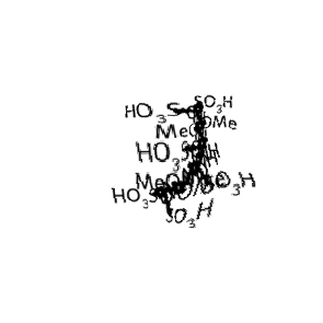 COc1cc(N=Nc2ccc(S(=O)(=O)O)cc2OCCCCS(=O)(=O)O)c(OC)cc1N=Nc1cc(OCCCS(=O)(=O)O)c(NC(=O)Nc2cc(C)c(N=Nc3cc(OC)c(N=Nc4ccc(S(=O)(=O)O)cc4OCCCCS(=O)(=O)O)cc3OC)cc2OCCCS(=O)(=O)O)cc1C